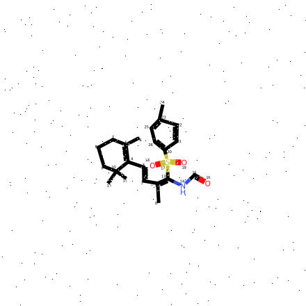 CC(C=CC1=C(C)CCCC1(C)C)=C(NC=O)S(=O)(=O)c1ccc(C)cc1